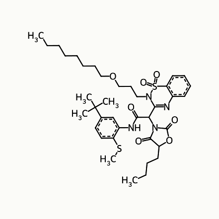 CCCCCCCCOCCCN1C(C(C(=O)Nc2cc(C(C)(C)C)ccc2SC)N2C(=O)OC(CCCC)C2=O)=Nc2ccccc2S1(=O)=O